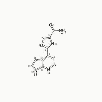 NC(=O)c1coc(-c2ccnc3[nH]ccc23)n1